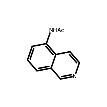 [CH2]C(=O)Nc1cccc2cnccc12